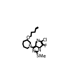 C=CCCCOC1CCCCN(c2nc(SC)nc3c(F)c(Cl)ncc23)C1